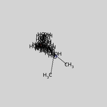 CCCCCCCCCCCCC/C=C/[C@@H](O)[C@H](CO[C@@H]1OC(CO)[C@@H](O[C@@H]2OC(CO)[C@H](O[C@@H]3OC(CO)[C@H](O)[C@H](O[C@@H]4OC(CO)[C@H](O[C@@H]5OC(CO)[C@H](O)[C@H](O[C@@H]6OC(CO)[C@H](O)[C@H](O)C6O)C5NC(C)=O)[C@H](O[C@]5(C(=O)O)CC(O)[C@@H](NC(=O)CO)C([C@H](O)[C@H](O)CO)O5)C4O)C3NC(C)=O)[C@H](O)C2O)[C@H](O)C1O)NC(=O)CCCCCCCCCCCCCCCCCCC